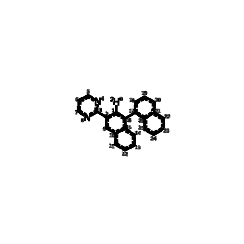 [2H]c1c(-c2ncccn2)cc2ccccc2c1-c1cccc2ccccc12